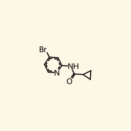 O=C(Nc1cc(Br)ccn1)C1CC1